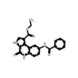 CCOC(=O)c1c[nH]c2c(=O)[nH]c3ccc(NC(=O)c4ccccc4)cc3c12